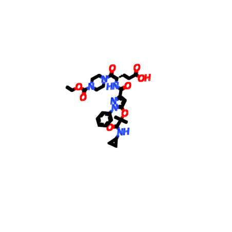 CCOC(=O)N1CCN(C(=O)[C@H](CCC(=O)O)NC(=O)c2cc(OC(C)(C)C(=O)NC3CC3)n(-c3ccccc3)n2)CC1